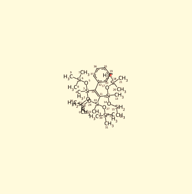 C[SiH2]O[Si](C)(O[Si](C)(C)C)C(=C([Si](C)(O[SiH2]C)O[Si](C)(C)C)[Si](C)(O[SiH2]C)O[Si](C)(C)C)c1ccccc1